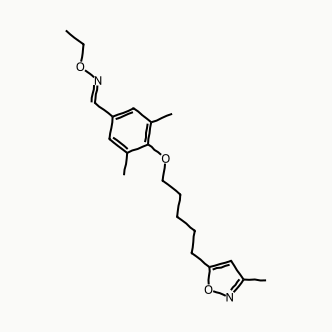 CCON=Cc1cc(C)c(OCCCCCc2cc(C)no2)c(C)c1